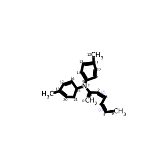 C=C(/C=C\C=C/C)N(c1ccc(C)cc1)C1C=CC(C)=CC1